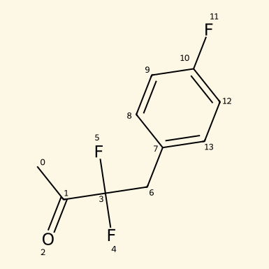 CC(=O)C(F)(F)Cc1ccc(F)cc1